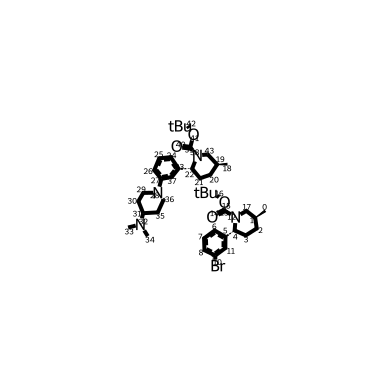 C[C@H]1CC[C@H](c2cccc(Br)c2)N(C(=O)OC(C)(C)C)C1.C[C@H]1CC[C@H](c2cccc(N3CCC(N(C)C)CC3)c2)N(C(=O)OC(C)(C)C)C1